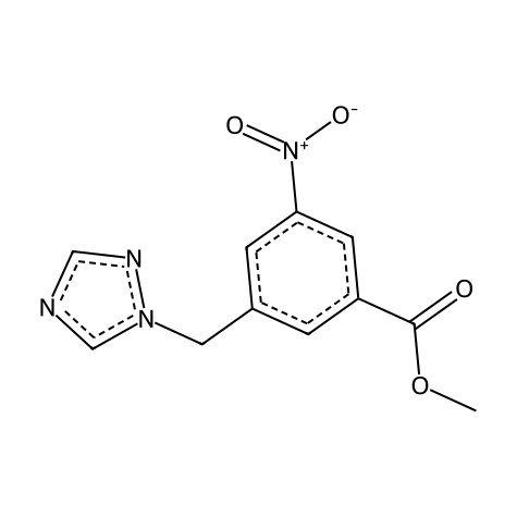 COC(=O)c1cc(Cn2cncn2)cc([N+](=O)[O-])c1